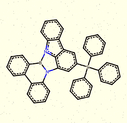 c1ccc([Si](c2ccccc2)(c2ccccc2)c2cc3c4c(c2)c2ccccc2n4B2c4ccccc4-c4ccccc4N23)cc1